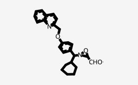 O=[C]C1ON1C(c1ccc(OCc2ccc3ccccc3n2)cc1)C1CCCCC1